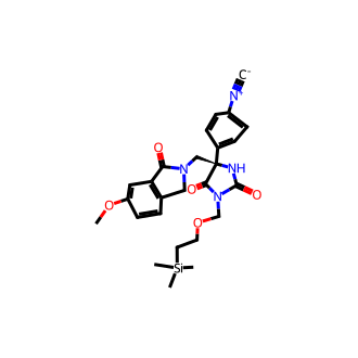 [C-]#[N+]c1ccc([C@]2(CN3Cc4ccc(OC)cc4C3=O)NC(=O)N(COCC[Si](C)(C)C)C2=O)cc1